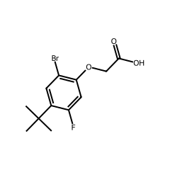 CC(C)(C)c1cc(Br)c(OCC(=O)O)cc1F